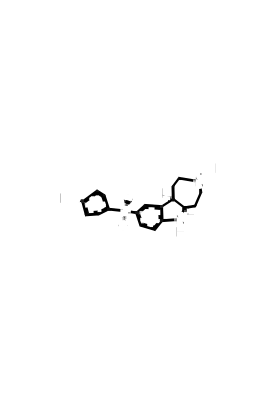 Cc1ccc(S(=O)(=O)c2ccc3c(c2)[C@H]2CCN(C)CC[C@@H]2N3)cc1